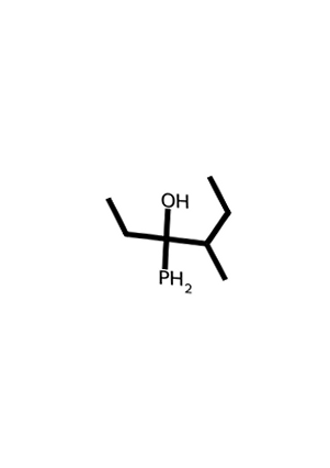 CCC(C)C(O)(P)CC